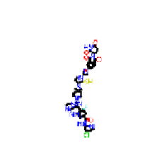 Nc1nccn2c(N3CCC4(CC3)CN([C@H]3CCN(C5CN(c6ccc7c(c6)C(=O)N(C6CCC(=O)NC6=O)C7=O)C5)C3S)C4)nc(-c3ccc(C(=O)Nc4cc(Cl)ccn4)cc3F)c12